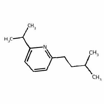 CC(C)CCc1cccc(C(C)C)n1